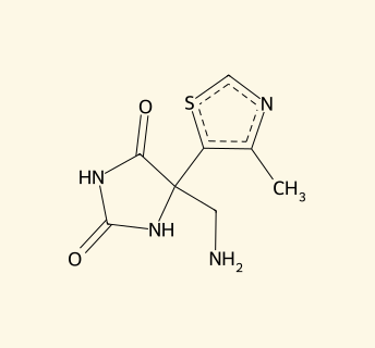 Cc1ncsc1C1(CN)NC(=O)NC1=O